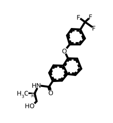 C[C@H](CO)NC(=O)c1ccc2c(Oc3ccc(C(F)(F)F)cc3)cccc2c1